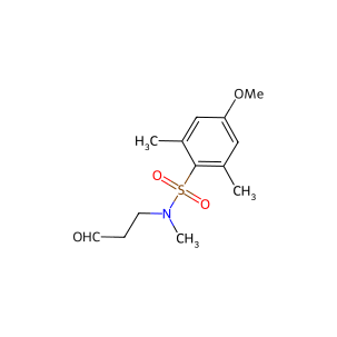 COc1cc(C)c(S(=O)(=O)N(C)CCC=O)c(C)c1